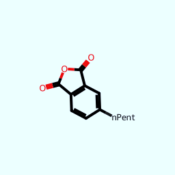 CCCCCc1ccc2c(c1)C(=O)OC2=O